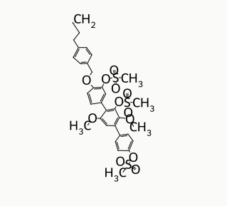 C=CCCc1ccc(COc2ccc(-c3c(OC)cc(-c4ccc(OS(C)(=O)=O)cc4)c(OC)c3OS(C)(=O)=O)cc2OS(C)(=O)=O)cc1